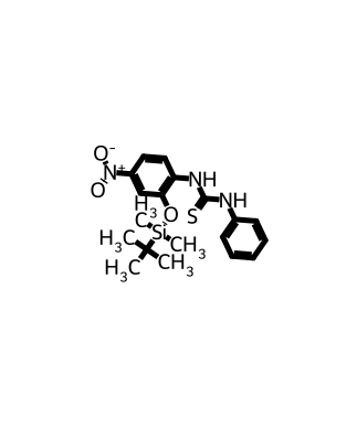 CC(C)(C)[Si](C)(C)Oc1cc([N+](=O)[O-])ccc1NC(=S)Nc1ccccc1